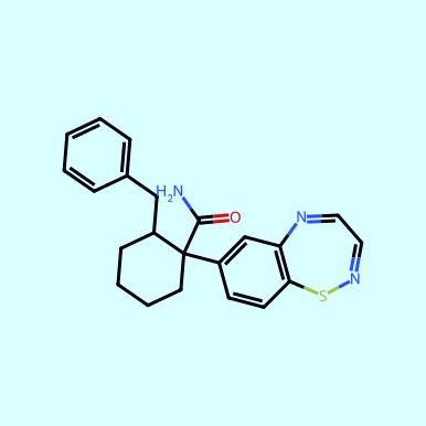 NC(=O)C1(c2ccc3c(c2)N=CC=NS3)CCCCC1Cc1ccccc1